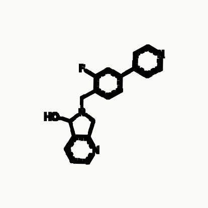 OC1c2cccnc2CN1Cc1ccc(-c2ccncc2)cc1F